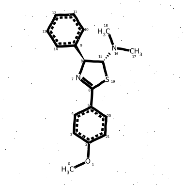 COc1ccc(C2=N[C@@H](c3ccccc3)[C@H](N(C)C)S2)cc1